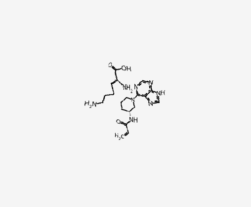 C=CC(=O)N[C@@H]1CCCN(c2ncnc3[nH]cnc23)C1.NCCCC[C@H](N)C(=O)O